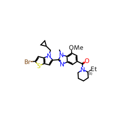 CC[C@H]1CCCCN1C(=O)c1cc(OC)c2c(c1)nc(-c1cc3sc(Br)cc3n1CC1CC1)n2C